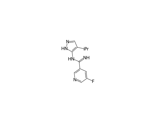 CC(C)c1cn[nH]c1NC(=N)c1cncc(F)c1